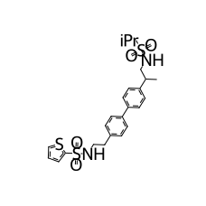 CC(CNS(=O)(=O)C(C)C)c1ccc(-c2ccc(CCNS(=O)(=O)c3cccs3)cc2)cc1